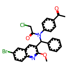 COc1nc2ccc(Br)cc2cc1C(c1ccccc1)N(C(=O)CCl)c1ccc(C(C)=O)cc1